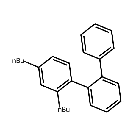 CCCCc1ccc(-c2cc[c]cc2-c2ccccc2)c(CCCC)c1